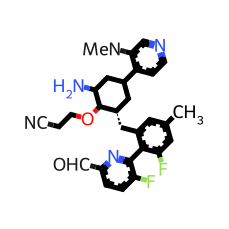 CNc1cnccc1C1CC(N)C(OCCC#N)[C@@H](Cc2cc(C)cc(F)c2-c2nc(C=O)ccc2F)C1